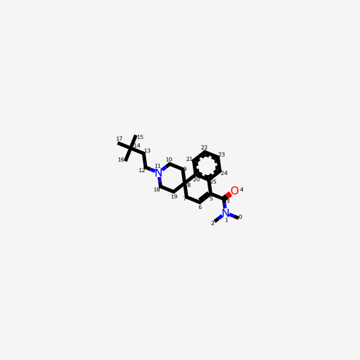 CN(C)C(=O)C1=CCC2(CCN(CCC(C)(C)C)CC2)c2ccccc21